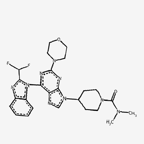 CN(C)C(=O)N1CCC(n2cnc3c(-n4c(C(F)F)nc5ccccc54)nc(N4CCOCC4)nc32)CC1